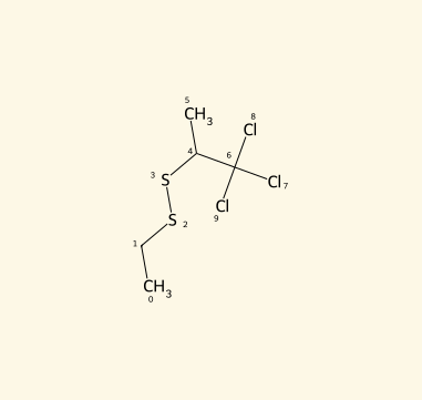 CCSSC(C)C(Cl)(Cl)Cl